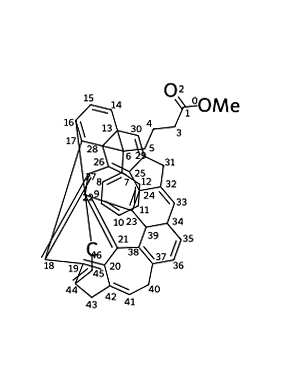 COC(=O)CCCC1(c2ccccc2)C23C=CC4=C5c6c7c8c9c%10c%11c%12c(c(c6%10)C521)C(=C3)CC%12=CC1C=CC(=C9C%111)CC=C8CC7=CC4